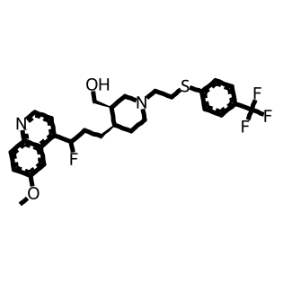 COc1ccc2nccc(C(F)CC[C@@H]3CCN(CCSc4ccc(C(F)(F)F)cc4)C[C@@H]3CO)c2c1